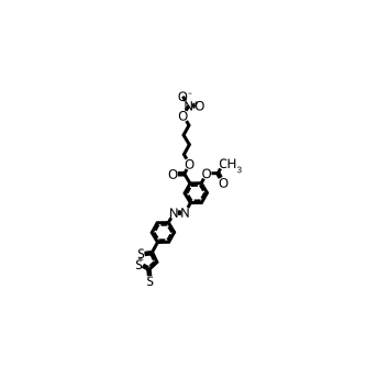 CC(=O)Oc1ccc(N=Nc2ccc(-c3cc(=S)ss3)cc2)cc1C(=O)OCCCCO[N+](=O)[O-]